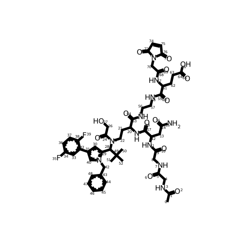 CC(=O)NCC(=O)NCC(=O)NC(CC(N)=O)C(=O)NC(CCN(C(=O)CO)C(c1cc(-c2cc(F)ccc2F)cn1Cc1ccccc1)C(C)(C)C)C(=O)NCCNC(=O)C(CCC(=O)O)NC(=O)CN1C(=O)C=CC1=O